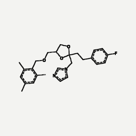 Cc1cc(C)c(COCC2COC(CCc3ccc(F)cc3)(Cn3ccnc3)O2)c(C)c1